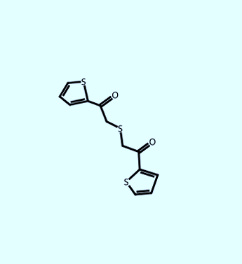 O=C(CSCC(=O)c1cccs1)c1cccs1